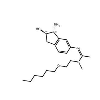 CCCCCCOCCN(C)C(C)=Nc1ccc2c(c1)[C@@H](N)[C@H](O)C2